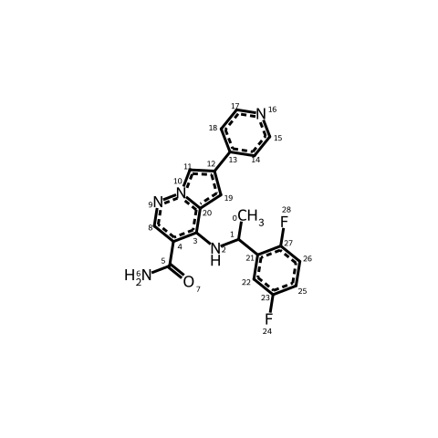 CC(Nc1c(C(N)=O)cnn2cc(-c3ccncc3)cc12)c1cc(F)ccc1F